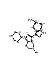 CC(=O)N1CCc2c(c(-c3c[nH]c4ncc(C(F)(F)F)cc34)nn2C2CCOCC2)C1